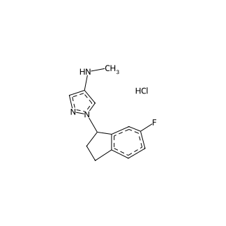 CNc1cnn(C2CCc3ccc(F)cc32)c1.Cl